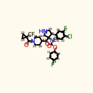 CCN(C(=O)Oc1ccc(F)cc1)[C@]1(C(=O)C2CCN(C(=O)C3(C(F)(F)F)CC3)CC2)CNC[C@H]1c1ccc(Cl)c(F)c1